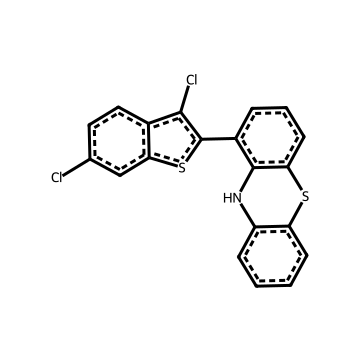 Clc1ccc2c(Cl)c(-c3cccc4c3Nc3ccccc3S4)sc2c1